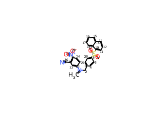 CN(Cc1ccc(S(=O)(=O)c2cccc3ccccc23)cc1)c1ccc([N+](=O)[O-])c(C#N)c1